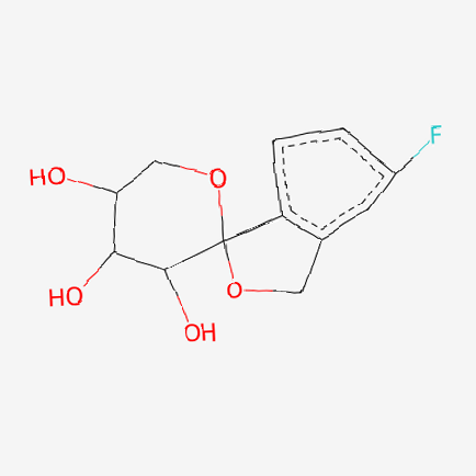 OC1COC2(OCc3cc(F)ccc32)C(O)C1O